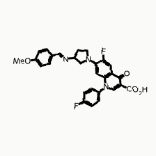 COc1ccc(C=NC2CCN(c3cc4c(cc3F)c(=O)c(C(=O)O)cn4-c3ccc(F)cc3)C2)cc1